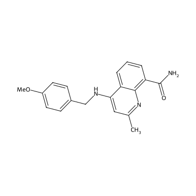 COc1ccc(CNc2cc(C)nc3c(C(N)=O)cccc23)cc1